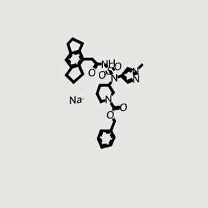 Cn1cc(N(C2CCCN(C(=O)OCc3ccccc3)C2)S(=O)(=O)NC(=O)Cc2c3c(cc4c2CCC4)CCC3)cn1.[Na]